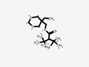 CCC1(COC(=O)C(C(C)(C)C)C(C)(C)C)COCOC1